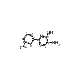 Nc1cnc(-c2cccc(Cl)c2)nc1O